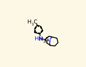 Cc1ccc(NC2CC3CCCC(C2)N3C)cc1